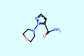 NC(=O)c1ccnn1N1CCOCC1